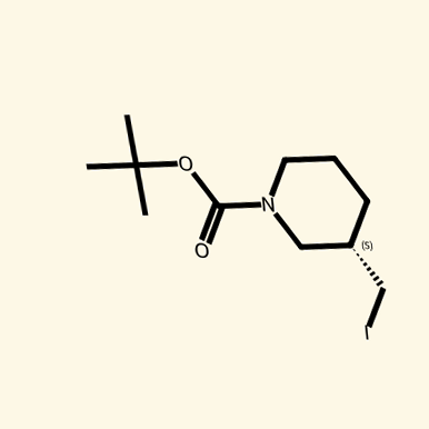 CC(C)(C)OC(=O)N1CCC[C@H](CI)C1